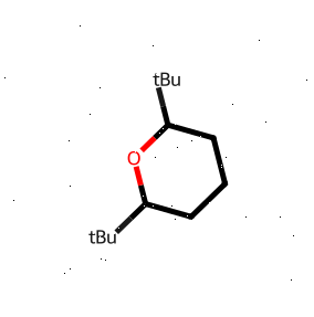 CC(C)(C)C1CCCC(C(C)(C)C)O1